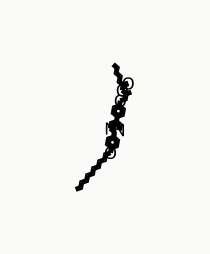 CCCCCCCCCCCOc1ccc(-c2ncc(-c3ccc(OCC(C)OC(=O)CCCCC)cc3)cn2)cc1